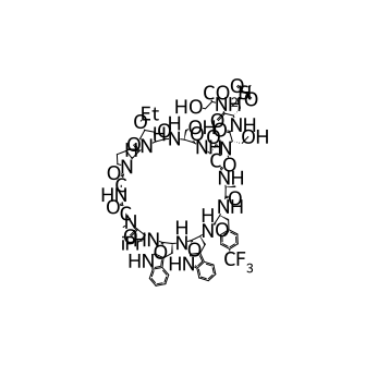 CCO[C@@H]1C[C@H]2C(=O)N[C@@H](CO)C(=O)N[C@H](C(=O)N(C)[C@@H](CO)C(=O)N[C@@H](CCS(C)(=O)=O)C(=O)N[C@@H](CO)C(=O)O)CC(=O)N[C@@H](C)C(=O)N[C@@H](Cc3ccc(C(F)(F)F)cc3)C(=O)N[C@@H](Cc3c[nH]c4ccccc34)C(=O)N[C@@H](Cc3c[nH]c4ccccc34)C(=O)N[C@@H](C(C)C)C(=O)N(C)CC(=O)NCC(=O)N3CCC[C@H]3C(=O)N2C1